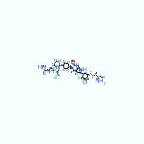 C=C[C@H](N)CCCc1cc(Cl)c(F)c(-c2cc3cn(-c4ccc([C@@H]5CCC[C@@H](CCNC(C)=N)N5CCCF)cc4)c(=O)nc3[nH]2)c1